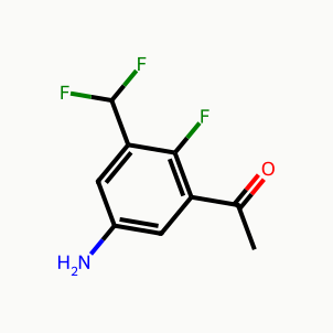 CC(=O)c1cc(N)cc(C(F)F)c1F